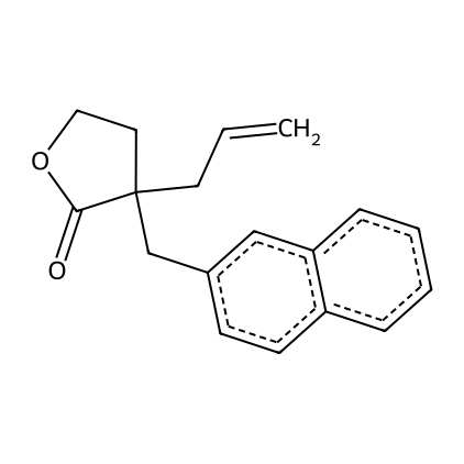 C=CCC1(Cc2ccc3ccccc3c2)CCOC1=O